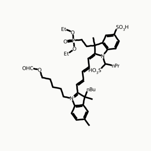 CCCCC1(C)C(C=CC=CC=C2N(C(CCC)S(=O)(=O)O)c3ccc(S(=O)(=O)O)cc3C2(C)CCP(=O)(OCC)OCC)=[N+](CCCCCOC=O)c2ccc(C)cc21